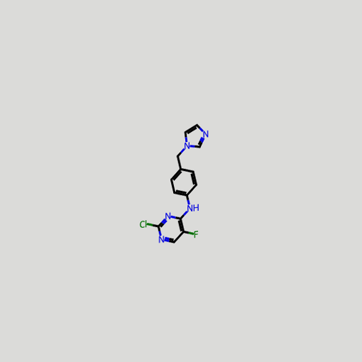 Fc1cnc(Cl)nc1Nc1ccc(Cn2ccnc2)cc1